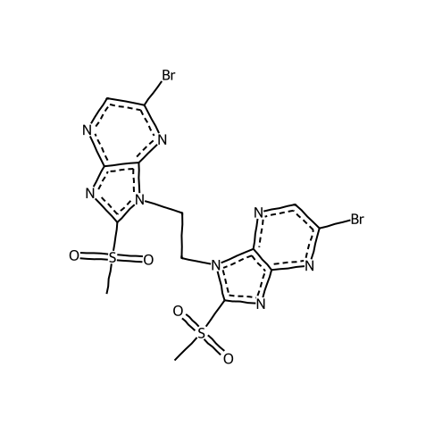 CS(=O)(=O)c1nc2nc(Br)cnc2n1CCn1c(S(C)(=O)=O)nc2ncc(Br)nc21